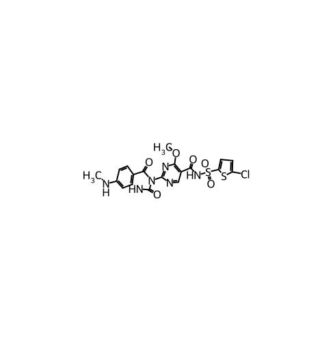 CNc1ccc2c(=O)n(-c3ncc(C(=O)NS(=O)(=O)c4ccc(Cl)s4)c(OC)n3)c(=O)[nH]c2c1